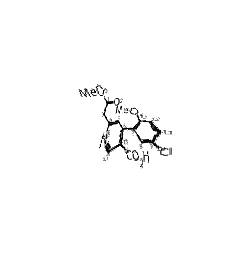 COC(=O)Cc1cc(-c2cc(Cl)ccc2OC)c(C(=O)O)cn1